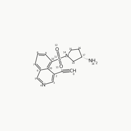 C#Cc1cncc2cccc(S(=O)(=O)N3CC[C@H](N)C3)c12